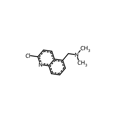 CN(C)Cc1cccc2nc(Cl)ccc12